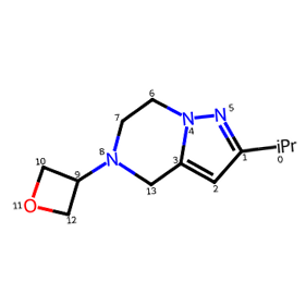 CC(C)c1cc2n(n1)CCN(C1COC1)C2